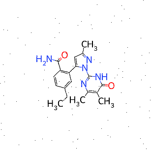 CCc1ccc(C(N)=O)c(-c2cc(C)nn2-c2nc(C)c(C)c(=O)[nH]2)c1